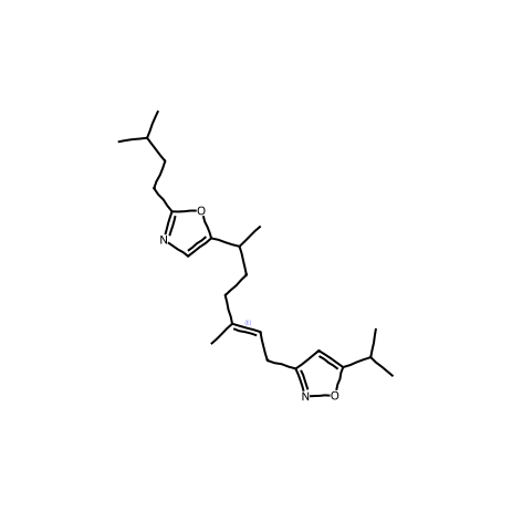 C/C(=C\Cc1cc(C(C)C)on1)CCC(C)c1cnc(CCC(C)C)o1